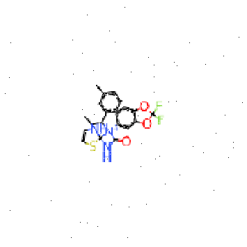 CCC(c1cccc(C)c1)[N+]1(c2ccc3c(c2)OC(F)(F)O3)C(=O)NC12NC=CS2